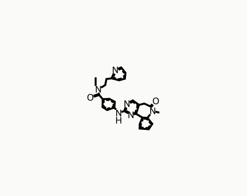 CCN(CCc1ccccn1)C(=O)c1ccc(Nc2ncc3c(n2)-c2ccccc2N(C)C(=O)C3)cc1